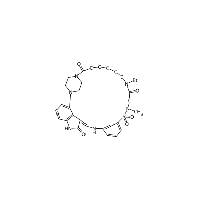 CCN1CCCCCC(=O)N2CCN(CC2)c2cccc3c2/C(=C/Nc2cccc(c2)S(=O)(=O)N(C)CC1=O)C(=O)N3